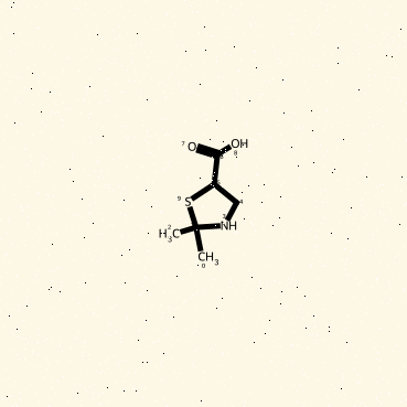 CC1(C)NCC(C(=O)O)S1